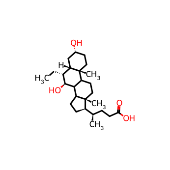 CC[C@H]1[C@H](O)C2C3CC[C@H]([C@H](C)CCC(=O)O)[C@@]3(C)CCC2[C@@]2(C)CC[C@@H](O)C[C@@H]12